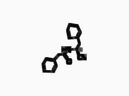 N#C[C@H](Cc1ccccc1)NC(=O)Cc1ccccc1